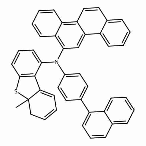 CC12CC=CC=C1c1c(cccc1N(c1ccc(-c3cccc4ccccc34)cc1)c1cc3c4ccccc4ccc3c3ccccc13)S2